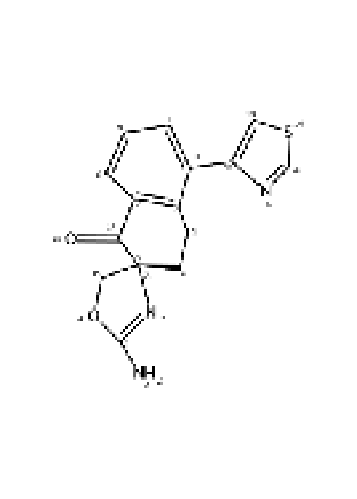 NC1=N[C@]2(CCc3c(cccc3-c3cscn3)C2=O)CO1